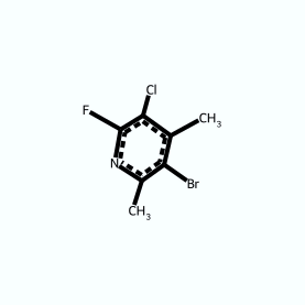 Cc1nc(F)c(Cl)c(C)c1Br